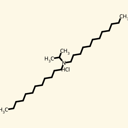 CCCCCCCCCCCCN(CCCCCCCCCCCC)C(C)C.Cl